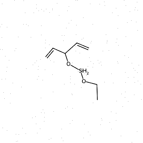 C=CC(C=C)O[SiH2]OCC